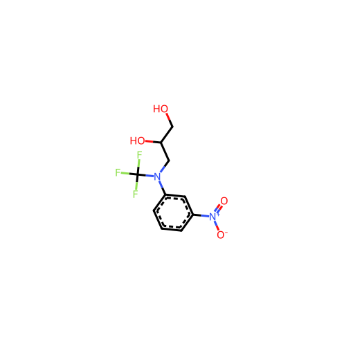 O=[N+]([O-])c1cccc(N(CC(O)CO)C(F)(F)F)c1